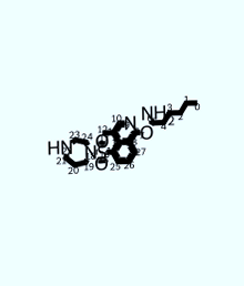 CCCCCC(N)Oc1ncc(C)c2c(S(=O)(=O)N3CCCNCC3)cccc12